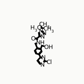 CC(C)(C)n1cc(C(=O)NCc2ccc(-c3ccnc(Cl)n3)cc2CO)nn1